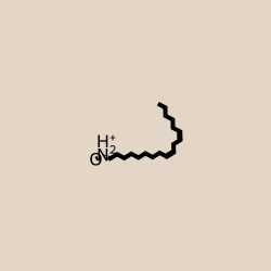 CCCCC/C=C\C/C=C\CCCCCCCC[NH2+][O-]